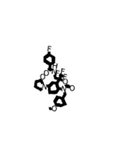 COc1ccc(CN2C(=O)OC(CNC(=O)c3ccc(F)cc3)(C(F)(F)F)c3cc(N4CCCC4=O)ccc32)cc1